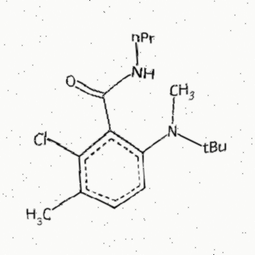 CCCNC(=O)c1c(N(C)C(C)(C)C)ccc(C)c1Cl